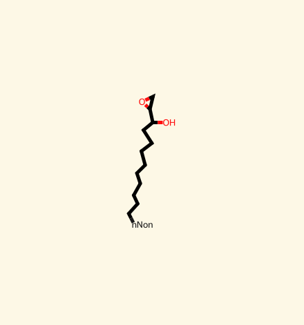 CCCCCCCCCCCCCCCCCCC(O)C1CO1